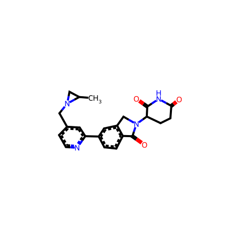 CC1CN1Cc1ccnc(-c2ccc3c(c2)CN(C2CCC(=O)NC2=O)C3=O)c1